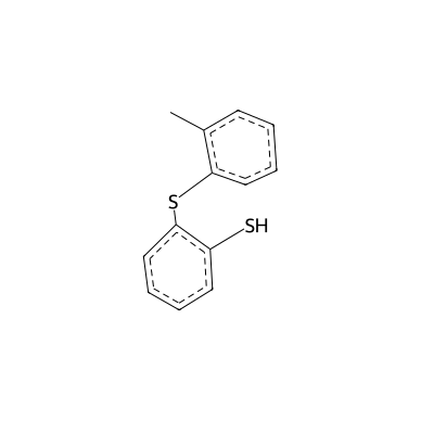 Cc1ccccc1Sc1ccccc1S